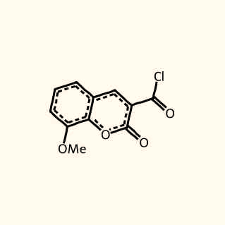 COc1cccc2cc(C(=O)Cl)c(=O)oc12